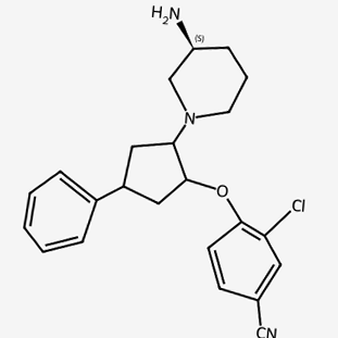 N#Cc1ccc(OC2CC(c3ccccc3)CC2N2CCC[C@H](N)C2)c(Cl)c1